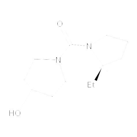 CC[C@@H]1CCCN1C(=O)N1CCC(O)CC1